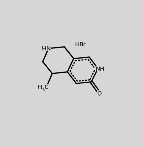 Br.CC1CNCc2c[nH]c(=O)cc21